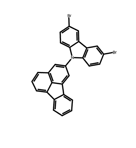 Brc1ccc2c(c1)c1cc(Br)ccc1n2-c1cc2c3c(cccc3c1)-c1ccccc1-2